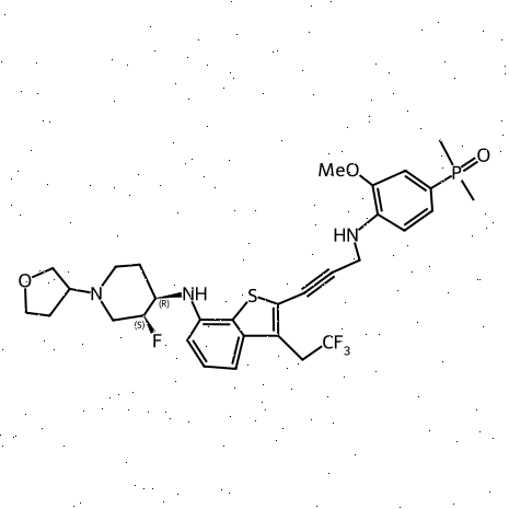 COc1cc(P(C)(C)=O)ccc1NCC#Cc1sc2c(N[C@@H]3CCN(C4CCOC4)C[C@@H]3F)cccc2c1CC(F)(F)F